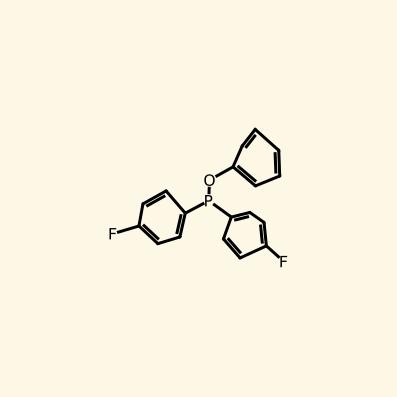 Fc1ccc(P(Oc2ccccc2)c2ccc(F)cc2)cc1